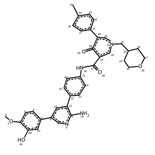 COc1ccc(-c2cnc(N)c(-c3ccc(NC(=O)c4cn(CC5CCOCC5)cc(-c5ccc(C)cc5)c4=O)cc3)c2)cc1O